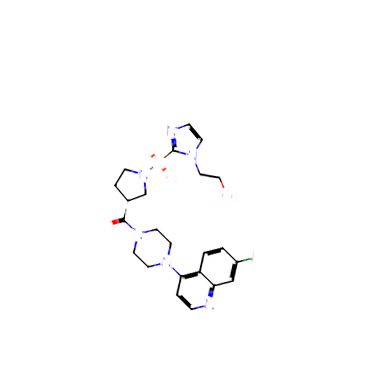 O=C([C@H]1CCN(S(=O)(=O)c2nccn2CCO)C1)N1CCN(c2ccnc3cc(F)ccc23)CC1